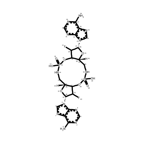 Nc1ncnc2c1ncn2[C@@H]1O[C@@H]2CNP(=O)(O)OC3C(F)[C@H](n4cnc5c(N)ncnc54)O[C@@H]3CNP(=O)(O)OC2C1F